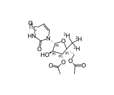 [2H]C([2H])([2H])[C@]1(COC(C)=O)O[C@@H](n2cc[13c](=O)[nH]c2=O)[C@H](O)[C@H]1OC(C)=O